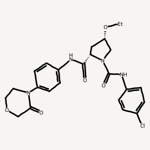 CCO[C@H]1C[C@@H](C(=O)Nc2ccc(N3CCOCC3=O)cc2)N(C(=O)Nc2ccc(Cl)cc2)C1